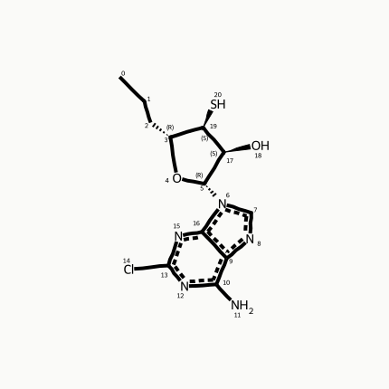 CCC[C@H]1O[C@@H](n2cnc3c(N)nc(Cl)nc32)[C@H](O)[C@@H]1S